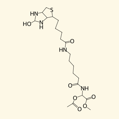 COC(=O)C(NC(=O)CCCCCNC(=O)CCCCC1SCC2NC(O)NC21)OC(C)=O